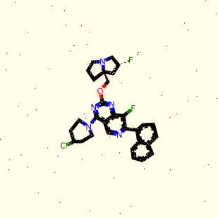 Fc1c(-c2cccc3ccccc23)ncc2c(N3CCC(Cl)CC3)nc(OC[C@@]34CCCN3C[C@H](F)C4)nc12